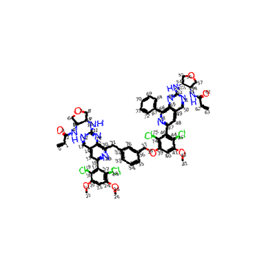 C=CC(=O)N[C@H]1COC[C@H]1Nc1ncc2cc(-c3c(Cl)c(OC)cc(OC)c3Cl)nc(Cc3cccc(COc4cc(OC)c(Cl)c(-c5cc6cnc(N[C@@H]7COC[C@@H]7NC(=O)C=C)nc6c(-c6ccccc6)n5)c4Cl)c3)c2n1